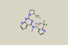 FC(F)(P)c1ncccc1CN(I)c1nc(N2CCCC2C(F)(F)F)nc2ncccc12